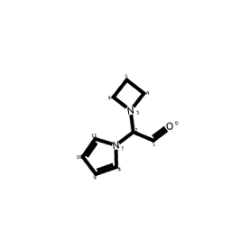 O=CC(N1CCC1)n1cccc1